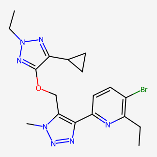 CCc1nc(-c2nnn(C)c2COc2nn(CC)nc2C2CC2)ccc1Br